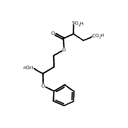 CCCCCCCCC(CCOC(=O)C(CC(=O)O)S(=O)(=O)O)Oc1ccccc1